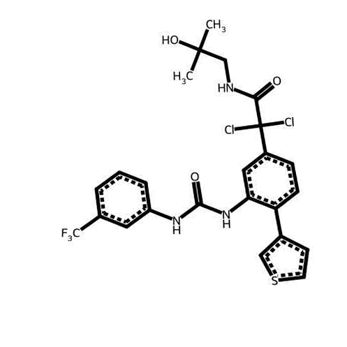 CC(C)(O)CNC(=O)C(Cl)(Cl)c1ccc(-c2ccsc2)c(NC(=O)Nc2cccc(C(F)(F)F)c2)c1